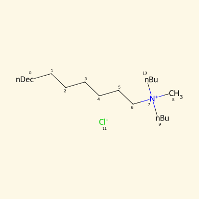 CCCCCCCCCCCCCCCC[N+](C)(CCCC)CCCC.[Cl-]